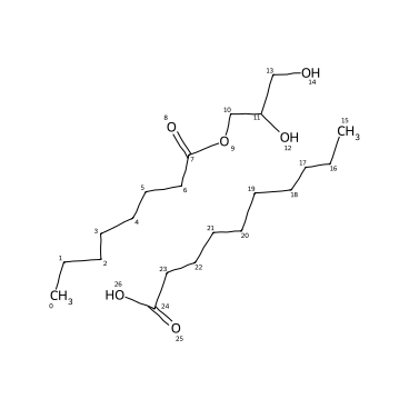 CCCCCCCC(=O)OCC(O)CO.CCCCCCCCCC(=O)O